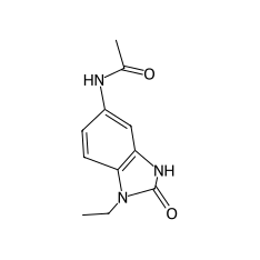 CCn1c(=O)[nH]c2cc(NC(C)=O)ccc21